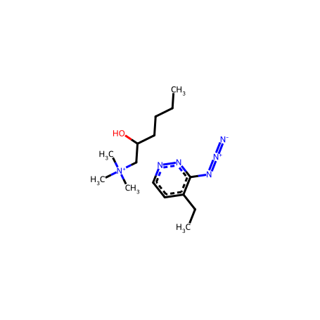 CCCCC(O)C[N+](C)(C)C.CCc1ccnnc1N=[N+]=[N-]